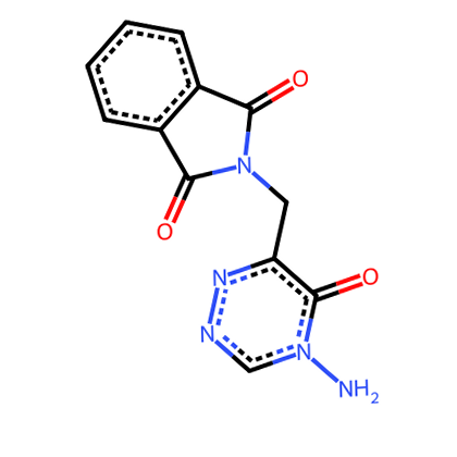 Nn1cnnc(CN2C(=O)c3ccccc3C2=O)c1=O